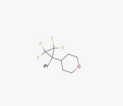 CC(C)C1(C2CCOCC2)C(F)(F)C1(F)F